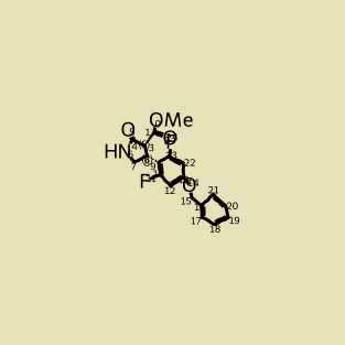 COC(=O)[C@@H]1C(=O)NC[C@H]1c1c(F)cc(OCc2ccccc2)cc1F